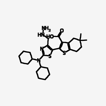 CC1(C)CCc2sc(-c3sc(N(C4CCCCC4)C4CCCCC4)nc3CNN)c(C(=O)O)c2C1